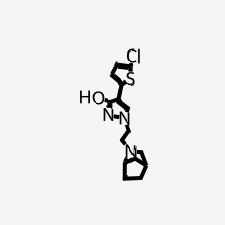 Oc1nn(CCN2CC3CCC2C3)cc1-c1ccc(Cl)s1